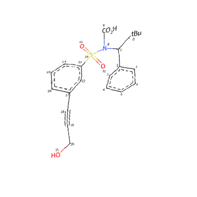 CC(C)(C)C(c1ccccc1)N(C(=O)O)S(=O)(=O)c1cccc(C#CCO)c1